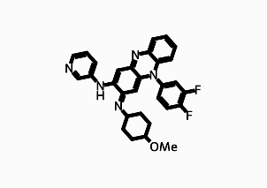 COC1CCC(/N=c2\cc3n(-c4ccc(F)c(F)c4)c4ccccc4nc-3cc2Nc2cccnc2)CC1